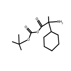 CC(C)(C)OC(=O)OC(=O)C(C)(N)C1CCCCC1